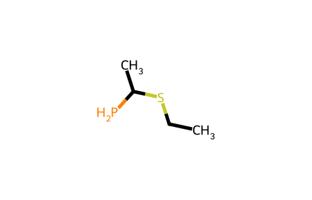 CCSC(C)P